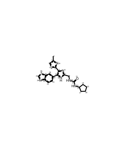 Cc1csc(-c2nc(CNC(=O)NC3CCCC3)[nH]c2-c2ccc3ncsc3c2)n1